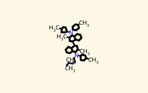 C/C=C(C)\C=C/CN(c1ccc(C)cc1)c1c(C)cc(-c2cc(C)c(N(c3ccc(C)cc3)c3ccc(C)cc3)c3ccccc23)c2ccccc12